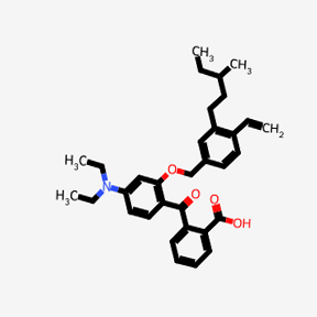 C=Cc1ccc(COc2cc(N(CC)CC)ccc2C(=O)c2ccccc2C(=O)O)cc1CCC(C)CC